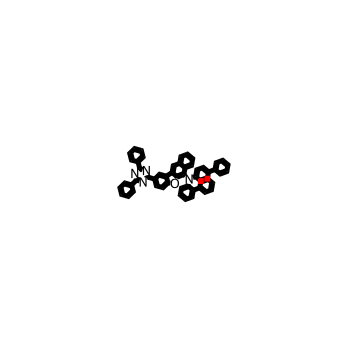 c1ccc(-c2ccc(N(c3ccccc3-c3ccccc3)c3c4ccccc4cc4c3oc3ccc(-c5nc(-c6ccccc6)nc(-c6ccccc6)n5)cc34)cc2)cc1